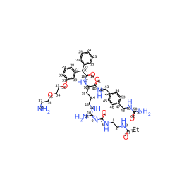 CCC(=O)NCCNC(=O)/N=C(/N)NCCC[C@@H](NC(=O)C(c1ccccc1)c1cccc(OCCOCCN)c1)C(=O)NCc1ccc(CNC(N)=O)cc1